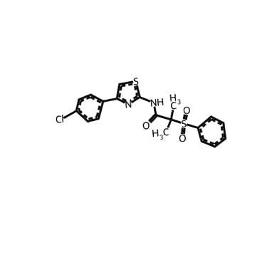 CC(C)(C(=O)Nc1nc(-c2ccc(Cl)cc2)cs1)S(=O)(=O)c1ccccc1